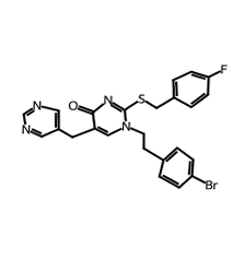 O=c1nc(SCc2ccc(F)cc2)n(CCc2ccc(Br)cc2)cc1Cc1cncnc1